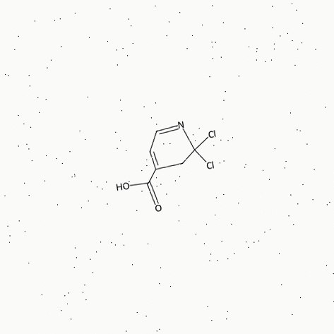 O=C(O)C1=CC=NC(Cl)(Cl)C1